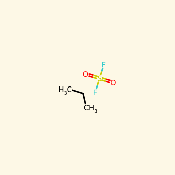 CCC.O=S(=O)(F)F